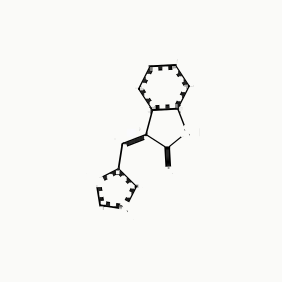 O=C1Nc2ccccc2/C1=C/c1cnco1